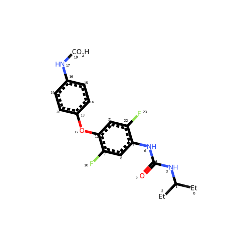 CCC(CC)NC(=O)Nc1cc(F)c(Oc2ccc(NC(=O)O)cc2)cc1F